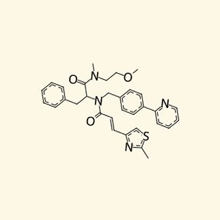 COCCN(C)C(=O)C(Cc1ccccc1)N(Cc1ccc(-c2ccccn2)cc1)C(=O)C=Cc1csc(C)n1